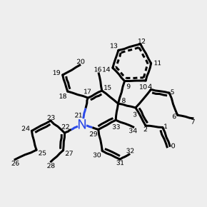 C=C/C=C(\C=C/CC)C1(c2ccccc2)C(C)=C(/C=C\C)N(C(/C=C\CC)=C/C)C(/C=C\C)=C1C